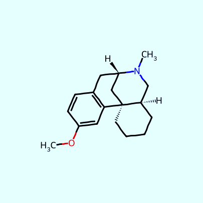 COc1ccc2c(c1)[C@]13CCCC[C@@H]1CN(C)[C@@H](C2)C3